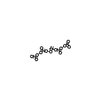 c1ccc(-n2c3ccccc3c3cc(-c4ccc5c(c4)c4ccccc4n5-c4ccc(-c5cccc6c(-c7ccc(-n8c9ccccc9c9cc(-c%10ccc%11c(c%10)c%10ccccc%10n%11-c%10ccccc%10)ccc98)cc7)nccc56)cc4)ccc32)cc1